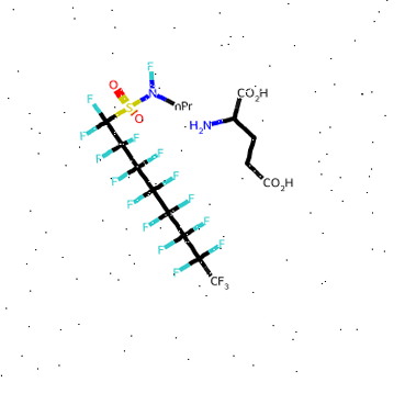 CCCN(F)S(=O)(=O)C(F)(F)C(F)(F)C(F)(F)C(F)(F)C(F)(F)C(F)(F)C(F)(F)C(F)(F)F.NC(CCC(=O)O)C(=O)O